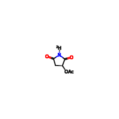 [2H]N1C(=O)CC(OC(C)=O)C1=O